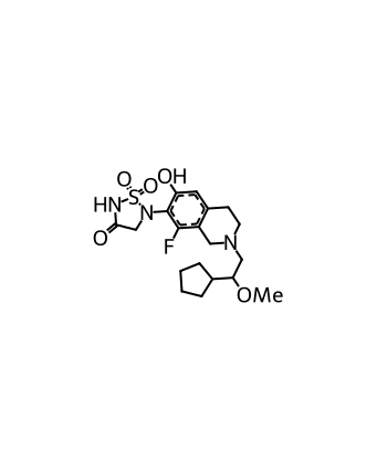 COC(CN1CCc2cc(O)c(N3CC(=O)NS3(=O)=O)c(F)c2C1)C1CCCC1